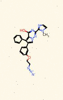 Cn1ccnc1-c1nc(O)c2c(-c3ccccc3)c(-c3cccc(OCCN=[N+]=[N-])c3)cn2n1